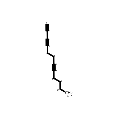 [C]#CC#CCCC#CCCC[CH2]